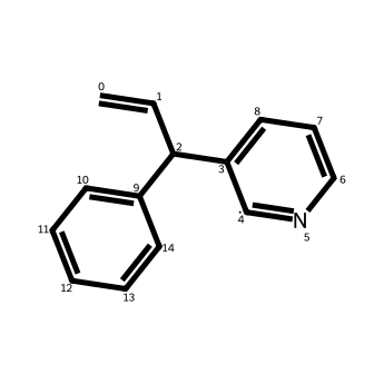 C=CC(c1[c]nccc1)c1ccccc1